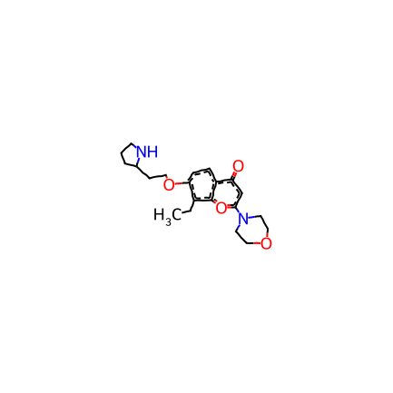 CCc1c(OCCC2CCCN2)ccc2c(=O)cc(N3CCOCC3)oc12